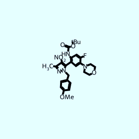 COc1ccc(Cn2nc(C)c([N+](=O)[O-])c2-c2cc(N3CCOCC3)c(F)cc2NC(=O)OC(C)(C)C)cc1